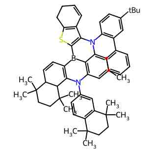 Cc1cc2c3c(c1)N(c1ccc(C(C)(C)C)cc1-c1ccccc1)c1c(sc4c1C=CCC4)B3C1=C(C3C(C=C1)C(C)(C)CCC3(C)C)N2c1ccc2c(c1)C(C)(C)CCC2(C)C